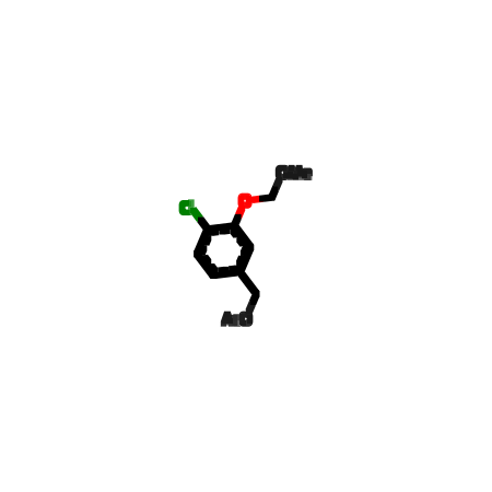 COCOc1cc(COC(C)=O)ccc1Cl